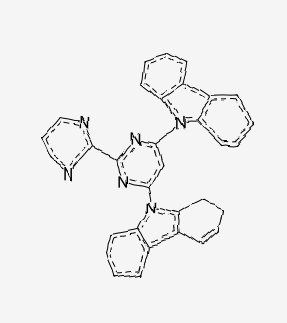 C1=Cc2c(n(-c3cc(-n4c5ccccc5c5ccccc54)nc(-c4ncccn4)n3)c3ccccc23)CC1